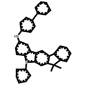 CC1(C)c2ccccc2-c2cc3c4cc(Nc5ccc(-c6ccccc6)cc5)ccc4n(-c4ccccc4)c3cc21